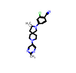 Cc1ncc(N2CCC3(CC2)C[C@H](C)N(c2ccc(C#N)c(Cl)c2)C3)cn1